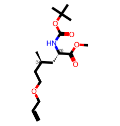 C=CCOCC[C@@H](C)C[C@H](NC(=O)OC(C)(C)C)C(=O)OC